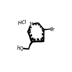 Cl.OCc1cncc(Br)c1